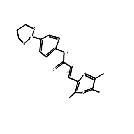 Cc1nc(C)c(/C=C/C(=O)Nc2ccc([As]3SCCCS3)cc2)nc1C